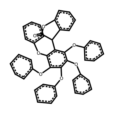 O=C1Oc2ccccc2C1c1c(Oc2ccccc2)c(Oc2ccccc2)c(Oc2ccccc2)c(Oc2ccccc2)c1Oc1ccccc1